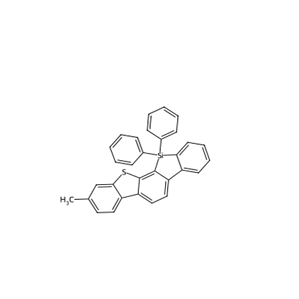 Cc1ccc2c(c1)sc1c3c(ccc12)-c1ccccc1[Si]3(c1ccccc1)c1ccccc1